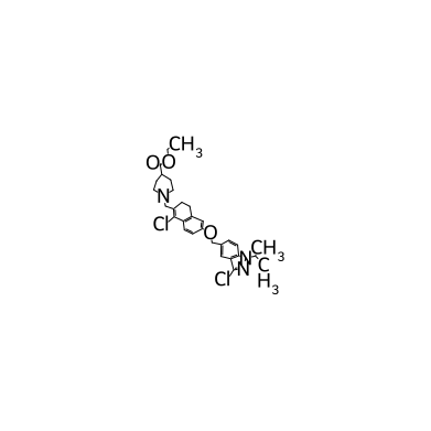 CCOC(=O)C1CCN(CC2=C(Cl)c3ccc(OCc4ccc5c(c4)c(Cl)nn5C(C)C)cc3CC2)CC1